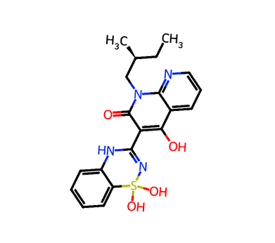 CC[C@H](C)Cn1c(=O)c(C2=NS(O)(O)c3ccccc3N2)c(O)c2cccnc21